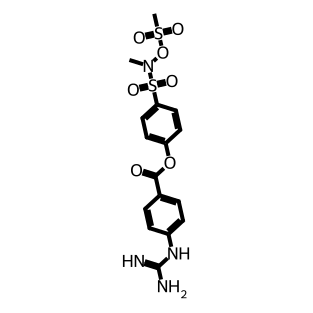 CN(OS(C)(=O)=O)S(=O)(=O)c1ccc(OC(=O)c2ccc(NC(=N)N)cc2)cc1